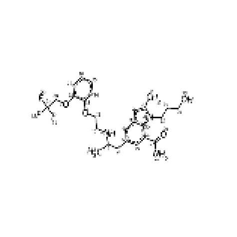 Cc1cc2cc(C[C@@H](C)NCCOc3ccccc3OCC(F)(F)F)cc(C(N)=O)c2n1CCCO